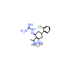 CS(=O)(=O)O.Cc1n[nH]c2c1C(=NNC(=N)N)CC(c1ccccc1Cl)C2